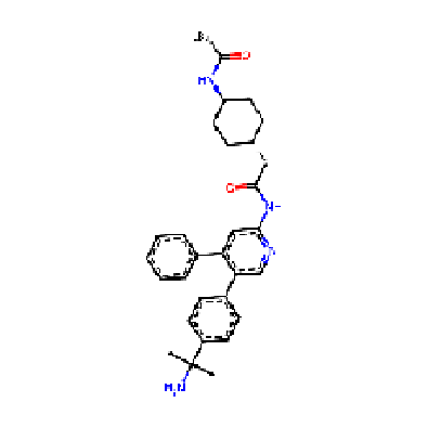 CC(C)(C)C(=O)N[C@H]1CC[C@H](CC(=O)Nc2cc(-c3ccccc3)c(-c3ccc(C(C)(C)N)cc3)cn2)CC1